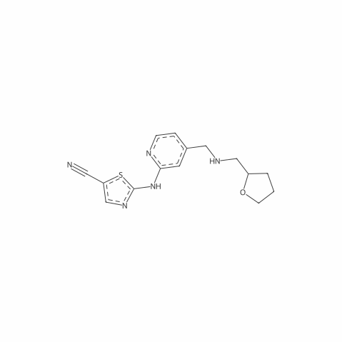 N#Cc1cnc(Nc2cc(CNCC3CCCO3)ccn2)s1